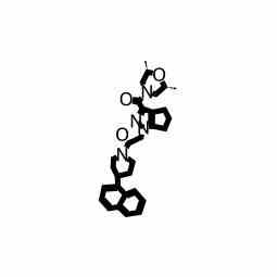 C[C@@H]1CN(C(=O)c2nn(CC(=O)N3CCC(c4cccc5ccccc45)CC3)c3c2CCC3)C[C@H](C)O1